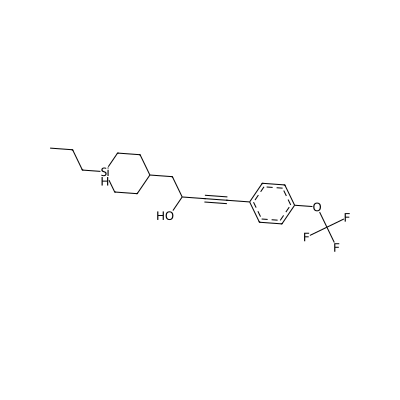 CCC[SiH]1CCC(CC(O)C#Cc2ccc(OC(F)(F)F)cc2)CC1